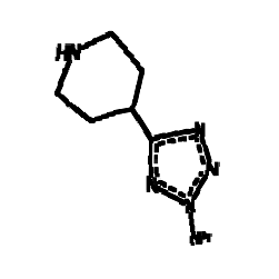 CCCn1nnc(C2CCNCC2)n1